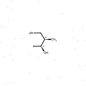 CCCC[C@@H](C)[C@@H](O)I